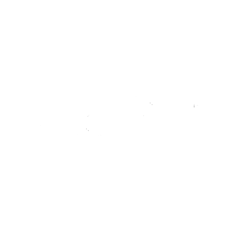 CC(C)CC(=O)On1c(=O)c2cc3c(=O)n(OC(=O)CC(C)C)c(=O)c3cc2c1=O